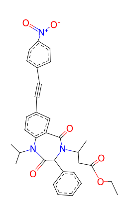 CCOC(=O)CC(C)N1C(=O)c2cc(C#Cc3ccc([N+](=O)[O-])cc3)ccc2N(C(C)C)C(=O)C1c1ccccc1